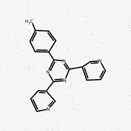 Cc1ccc(-c2nc(-c3cccnc3)nc(-c3cccnc3)n2)cc1